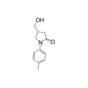 Cc1ccc(N2CC(CO)CC2=O)cc1